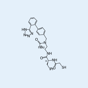 CCCCC(=O)N(CCNC(=O)[C@H](CC(C)C)NC(=O)CS)Cc1ccc(-c2ccccc2-c2nnn[nH]2)cc1